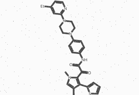 CCc1ccnc(N2CCN(c3ccc(NC(=O)C(=O)c4c(-c5cccs5)c(C)cn4C)cc3)CC2)c1